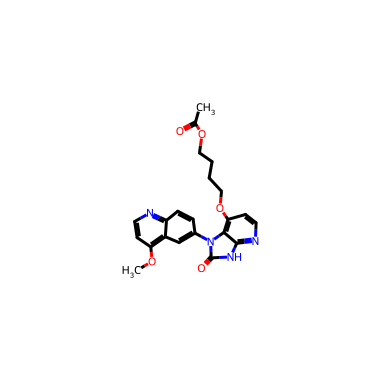 COc1ccnc2ccc(-n3c(=O)[nH]c4nccc(OCCCCOC(C)=O)c43)cc12